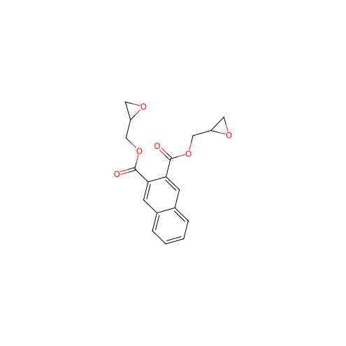 O=C(OCC1CO1)c1cc2ccccc2cc1C(=O)OCC1CO1